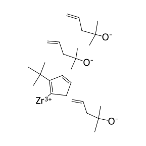 C=CCC(C)(C)[O-].C=CCC(C)(C)[O-].C=CCC(C)(C)[O-].CC(C)(C)C1=[C]([Zr+3])CC=C1